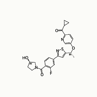 C[C@@H](Oc1ccc(C(=O)C2CC2)nc1)c1cc(-c2ccc(C(=O)N3CC[C@@H](O)C3)c(F)c2)ns1